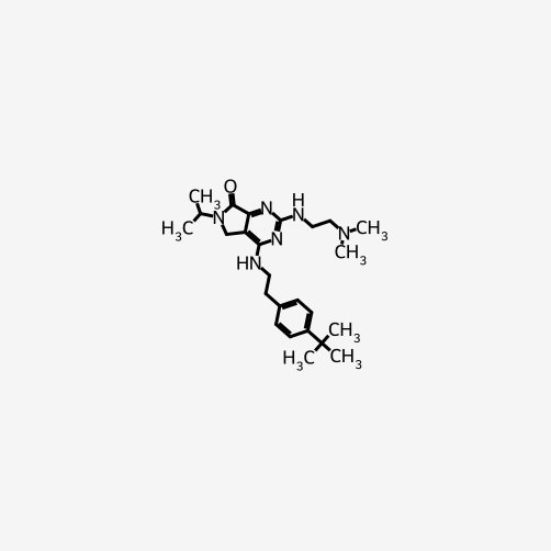 CC(C)N1Cc2c(NCCc3ccc(C(C)(C)C)cc3)nc(NCCN(C)C)nc2C1=O